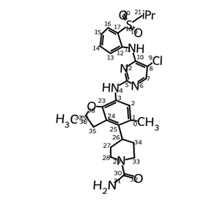 Cc1cc(Nc2ncc(Cl)c(Nc3ccccc3S(=O)(=O)C(C)C)n2)c2c(c1C1CCN(C(N)=O)CC1)C[C@H](C)O2